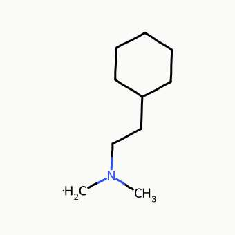 [CH2]N(C)CCC1CCCCC1